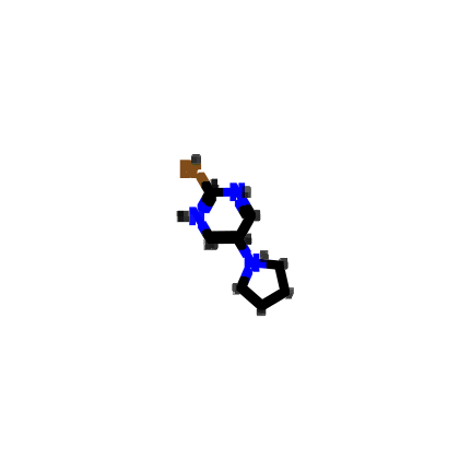 Brc1ncc(N2CCCC2)cn1